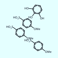 COc1ccc(S(=O)(=O)O)cc1.COc1ccc(S(=O)(=O)O)cc1.COc1ccc(S(=O)(=O)O)cc1.Oc1cccc(O)c1O